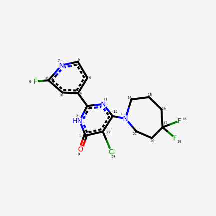 O=c1[nH]c(-c2ccnc(F)c2)nc(N2CCCC(F)(F)CC2)c1Cl